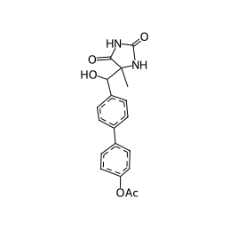 CC(=O)Oc1ccc(-c2ccc(C(O)C3(C)NC(=O)NC3=O)cc2)cc1